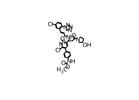 COC(=O)Nc1ccc(-c2cc([C@H](CC(=O)N3CCC(O)C3)NC(=O)C=Cc3cc(Cl)ccc3-n3cnnn3)nnc2Cl)cc1